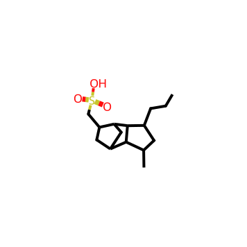 CCCC1CC(C)C2C3CC(CS(=O)(=O)O)C(C3)C12